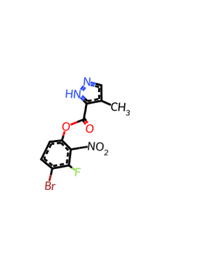 Cc1cn[nH]c1C(=O)Oc1ccc(Br)c(F)c1[N+](=O)[O-]